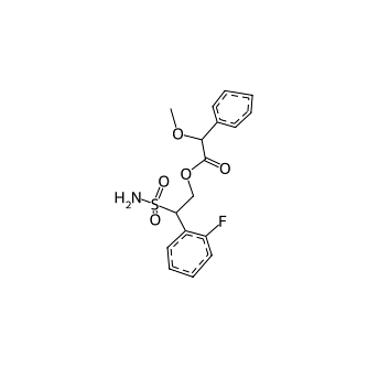 COC(C(=O)OCC(c1ccccc1F)S(N)(=O)=O)c1ccccc1